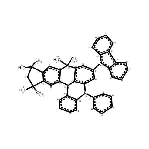 CC1(C)CC(C)(C)c2cc3c(cc21)B1c2ccccc2N(c2ccccc2)c2cc(-n4c5ccccc5c5ccccc54)cc(c21)C3(C)C